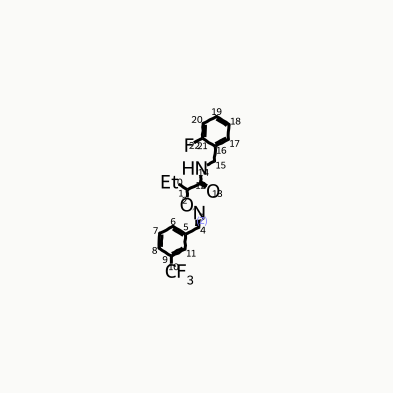 CCC(O/N=C\c1cccc(C(F)(F)F)c1)C(=O)NCc1ccccc1F